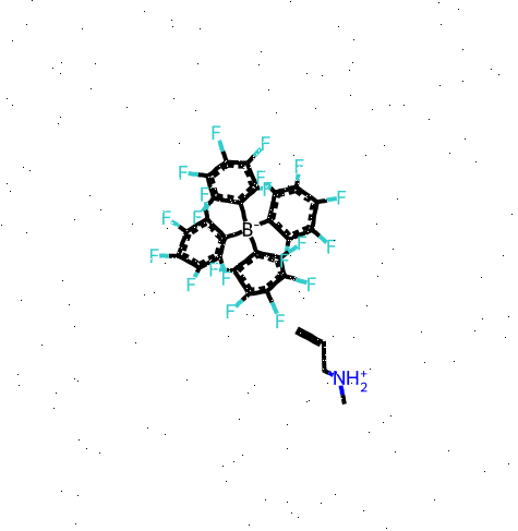 C=CC[NH2+]C.Fc1c(F)c(F)c([B-](c2c(F)c(F)c(F)c(F)c2F)(c2c(F)c(F)c(F)c(F)c2F)c2c(F)c(F)c(F)c(F)c2F)c(F)c1F